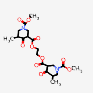 COC(=O)N1CC(C)C(=O)C(C(=O)OCCOC(=O)C2CN(C(=O)OC)CC(C)C2=O)C1